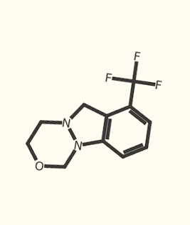 FC(F)(F)c1cccc2c1CN1CCOCN21